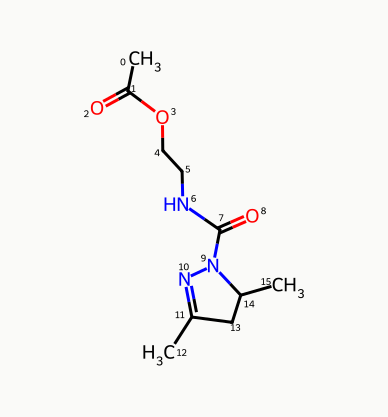 CC(=O)OCCNC(=O)N1N=C(C)CC1C